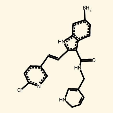 Bc1ccc2c(C(=O)NCC3=CNCC=C3)c(/C=C/c3ccc(Cl)nc3)[nH]c2c1